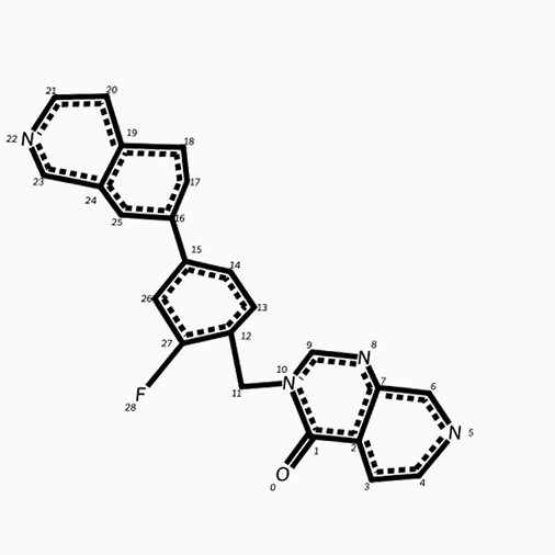 O=c1c2ccncc2ncn1Cc1ccc(-c2ccc3ccncc3c2)cc1F